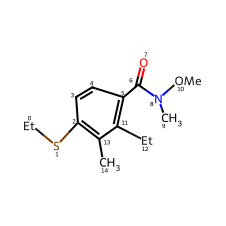 CCSc1ccc(C(=O)N(C)OC)c(CC)c1C